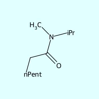 CCCCCCC(=O)N(C)C(C)C